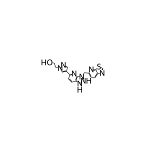 OCCn1cc(-c2ccc3c(n2)N(Cc2ccc4ncsc4n2)NN3)cn1